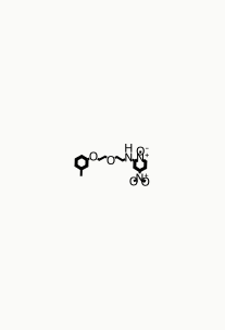 Cc1cccc(OCCOCCNc2cc([N+](=O)[O-])cc[n+]2[O-])c1